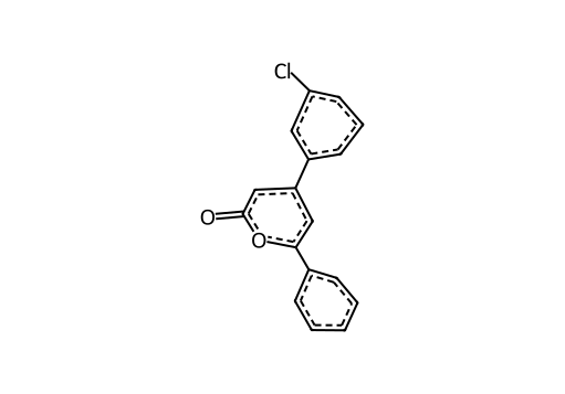 O=c1cc(-c2cccc(Cl)c2)cc(-c2ccccc2)o1